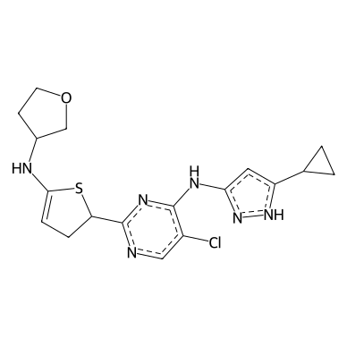 Clc1cnc(C2CC=C(NC3CCOC3)S2)nc1Nc1cc(C2CC2)[nH]n1